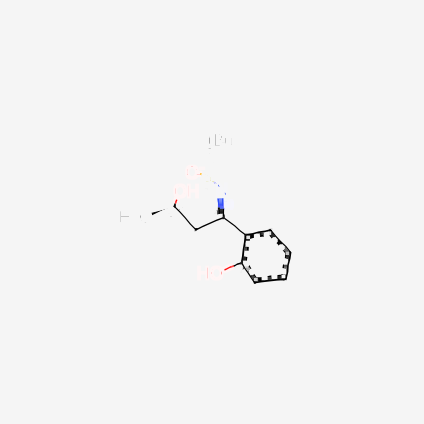 C[C@@H](O)C/C(=N\[S@+]([O-])C(C)(C)C)c1ccccc1O